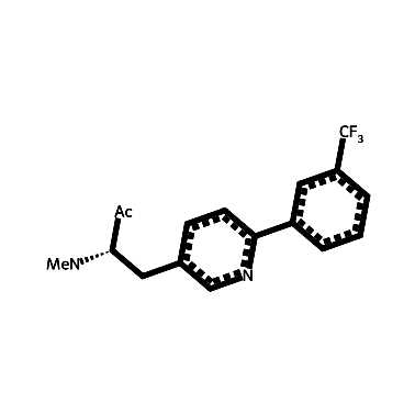 CN[C@@H](Cc1ccc(-c2cccc(C(F)(F)F)c2)nc1)C(C)=O